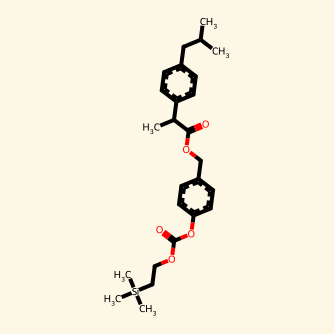 CC(C)Cc1ccc(C(C)C(=O)OCc2ccc(OC(=O)OCC[Si](C)(C)C)cc2)cc1